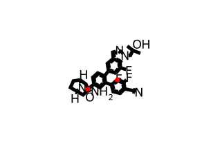 CC(C)(O)Cn1ncc2cc(-c3ccc(C(=O)N4[C@@H]5CC[C@H]4C[C@@H](N)C5)cc3-c3ccc(C#N)c(F)c3)c(F)c(F)c21